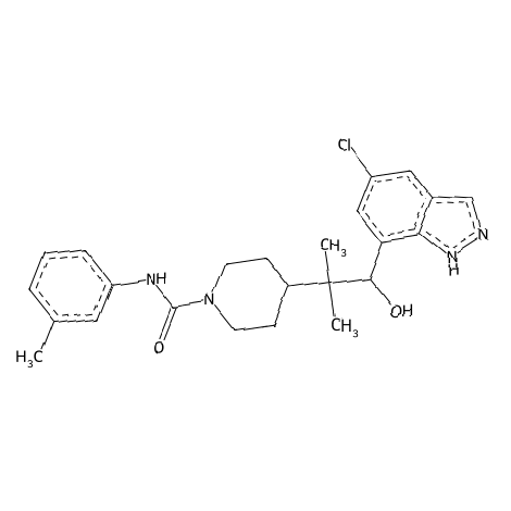 Cc1cccc(NC(=O)N2CCC(C(C)(C)C(O)c3cc(Cl)cc4cn[nH]c34)CC2)c1